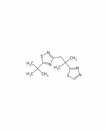 CC(C)(C)c1nc(CC(C)(C)c2nncs2)ns1